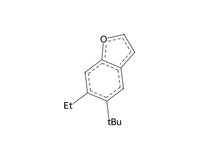 CCc1cc2occc2cc1C(C)(C)C